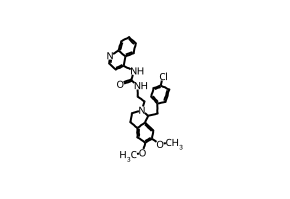 COc1cc2c(cc1OC)C(Cc1ccc(Cl)cc1)N(CCNC(=O)Nc1ccnc3ccccc13)CC2